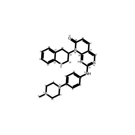 CN1CCN(c2ccc(Nc3ncc4ccc(=O)n(C5CSc6ccccc6C5)c4n3)cc2)CC1